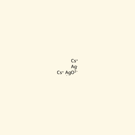 [Ag].[Ag].[Cs+].[Cs+].[O-2]